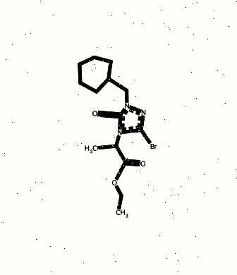 CCOC(=O)C(C)n1c(Br)nn(CC2CCCCC2)c1=O